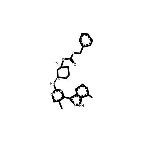 Cc1cnc(N[C@@H]2CCC[C@](C)(NC(=O)OCc3ccccc3)C2)nc1-c1n[nH]c2c(C)cccc12